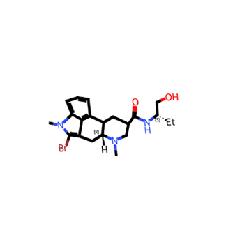 CC[C@@H](CO)NC(=O)C1CC2c3cccc4c3c(c(Br)n4C)C[C@H]2N(C)C1